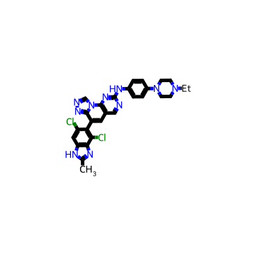 CCN1CCN(c2ccc(Nc3ncc4cc(-c5c(Cl)cc6[nH]c(C)nc6c5Cl)c5nncn5c4n3)cc2)CC1